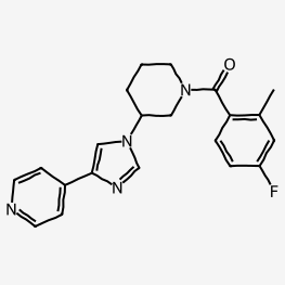 Cc1cc(F)ccc1C(=O)N1CCCC(n2cnc(-c3ccncc3)c2)C1